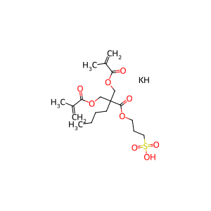 C=C(C)C(=O)OCC(CCCC)(COC(=O)C(=C)C)C(=O)OCCCS(=O)(=O)O.[KH]